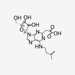 C=C(C)CCNc1nc(CS(=O)(=O)O)nc2c1ncn2[C@@H]1O[C@H](CO)[C@@H](O)[C@H]1O